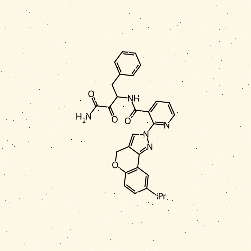 CC(C)c1ccc2c(c1)-c1nn(-c3ncccc3C(=O)NC(Cc3ccccc3)C(=O)C(N)=O)cc1CO2